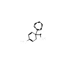 O=C(O)C1(c2ccccc2)C=CC(O)=CC1